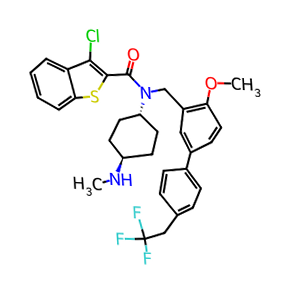 CN[C@H]1CC[C@H](N(Cc2cc(-c3ccc(CC(F)(F)F)cc3)ccc2OC)C(=O)c2sc3ccccc3c2Cl)CC1